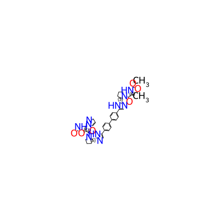 COC(=O)N[C@@H](C)C(=O)N1CCC[C@H]1c1ncc(-c2ccc(-c3ccc(-c4cnc([C@@H]5CCCN5C(=O)[C@H](Cn5cccn5)OC(N)=O)[nH]4)cc3)cc2)[nH]1